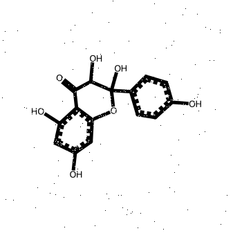 O=C1c2c(O)cc(O)cc2OC(O)(c2ccc(O)cc2)C1O